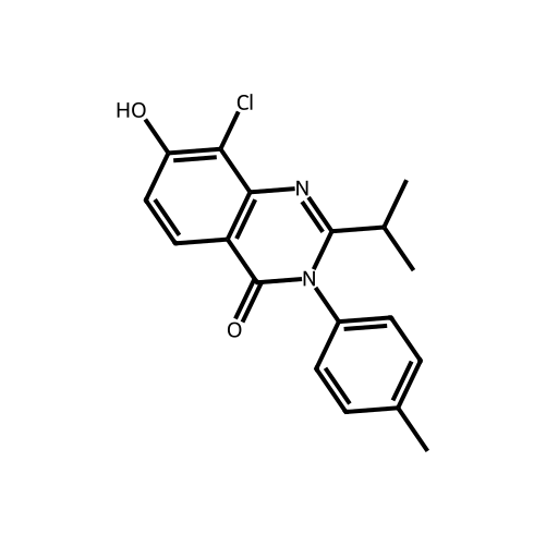 Cc1ccc(-n2c(C(C)C)nc3c(Cl)c(O)ccc3c2=O)cc1